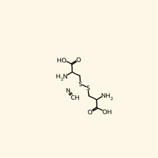 C#N.NC(CSSCC(N)C(=O)O)C(=O)O